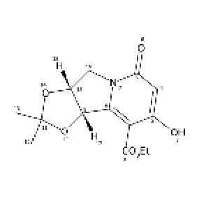 CCOC(=O)c1c(O)cc(=O)n2c1[C@@H]1OC(C)(C)O[C@@H]1C2